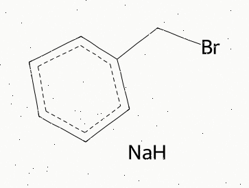 BrCc1ccccc1.[NaH]